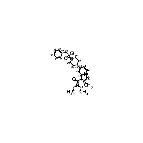 CCN(CC)C(=O)c1c(C)nn2ccc(C3CCN(S(=O)(=O)Cc4ccccc4)CC3)cc12